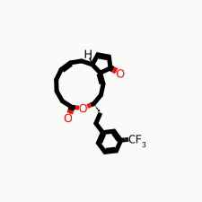 O=C1CCC/C=C\C[C@H]2C=CC(=O)/C2=C/C[C@H](CCc2cccc(C(F)(F)F)c2)O1